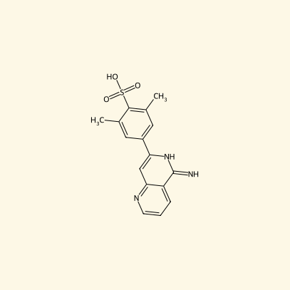 Cc1cc(-c2cc3ncccc3c(=N)[nH]2)cc(C)c1S(=O)(=O)O